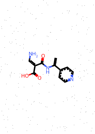 C=C(NC(=O)/C(=C\N)C(=O)O)c1ccncc1